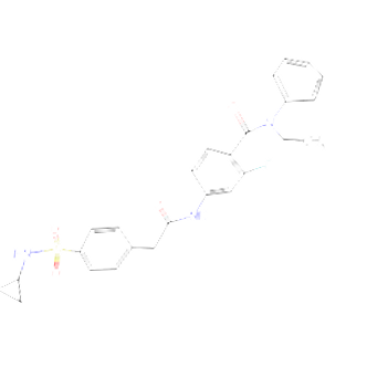 CCN(C(=O)c1ccc(NC(=O)Cc2ccc(S(=O)(=O)NC3CC3)cc2)cc1F)c1ccccc1